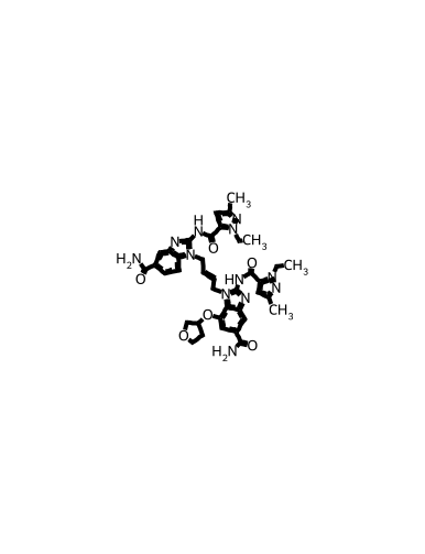 CCn1nc(C)cc1C(=O)Nc1nc2cc(C(N)=O)ccc2n1C/C=C/Cn1c(NC(=O)c2cc(C)nn2CC)nc2cc(C(N)=O)cc(OC3CCOC3)c21